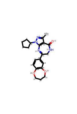 CCc1nn(C2CCCC2)c2c1C(=O)NCC(c1ccc3c(c1)OCCCO3)=N2